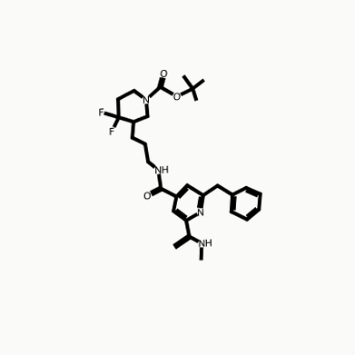 C=C(NC)c1cc(C(=O)NCCCC2CN(C(=O)OC(C)(C)C)CCC2(F)F)cc(Cc2ccccc2)n1